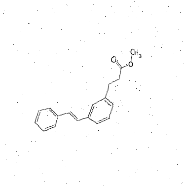 COC(=O)CCc1cccc(C=Cc2ccccc2)c1